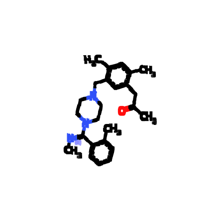 C/N=C(\c1ccccc1C)N1CCN(Cc2cc(CC(C)=O)c(C)cc2C)CC1